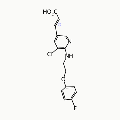 O=C(O)/C=C/c1cnc(NCCOc2ccc(F)cc2)c(Cl)c1